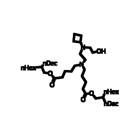 CCCCCCCCCCC(CCCCCC)COC(=O)CCCCN(CCCCC(=O)OCC(CCCCCC)CCCCCCCCCC)CCN(CCO)C1CCC1